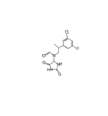 CC(CN(C=O)C1NC(=O)NC1=O)c1cc(Cl)cc(Cl)c1